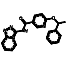 CC(Oc1ccc(C(=O)Nc2nnc3ccccn23)cn1)c1ccccc1